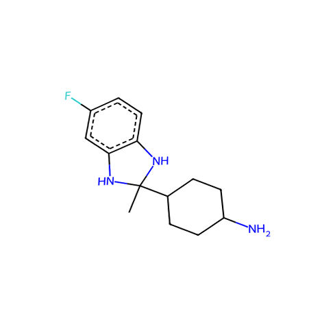 CC1(C2CCC(N)CC2)Nc2ccc(F)cc2N1